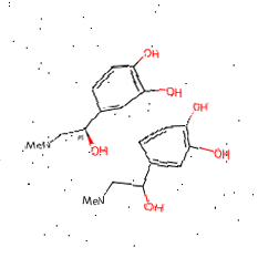 CNCC(O)c1ccc(O)c(O)c1.CNC[C@H](O)c1ccc(O)c(O)c1